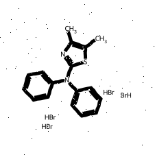 Br.Br.Br.Br.Cc1nc(N(c2ccccc2)c2ccccc2)sc1C